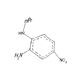 CCCNc1ccc([N+](=O)[O-])cc1N